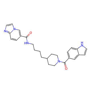 O=C(NCCCCC1CCN(C(=O)c2ccc3[nH]ccc3c2)CC1)c1ccc2nccn2c1